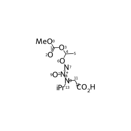 COC(=O)OC(C)ON=[N+]([O-])N(CC(=O)O)C(C)C